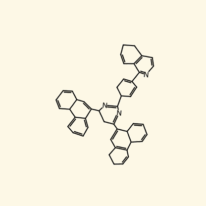 C1=CC2C=C(C3CC(C4=CC5=C(C=CCC5)C5C=CC=CC45)=NC(C4C=CC(c5nccc6c5C=CCC6)=CC4)=N3)c3ccccc3C2C=C1